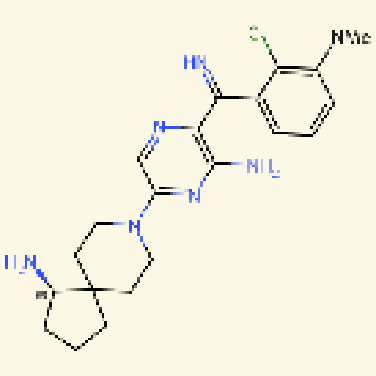 CNc1cccc(C(=N)c2ncc(N3CCC4(CCC[C@H]4N)CC3)nc2N)c1Cl